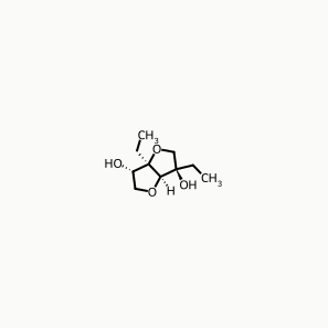 CC[C@@]1(O)CO[C@@]2(CC)[C@@H]1OC[C@@H]2O